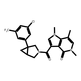 Cc1cn(C)c(=O)c2c(C(=O)N3CC4CC4(c4cc(Cl)cc(C(F)(F)F)c4)C3)cn(C)c12